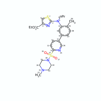 CCCN(c1nc(C(=O)OCC)cs1)c1cc(-c2ccc(S(=O)(=O)N3CCN(C)CC3)nc2)ccc1C